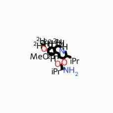 [2H]c1c(OC)c(OC([2H])([2H])[2H])c([2H])c2c1C1([2H])CC(OC(=O)[C@@H](N)C(C)C)C(CC(C)C)CN1C([2H])([2H])C2([2H])[2H]